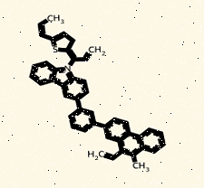 C=C/C(=C1\CC=C(/C=C\C)S1)n1c2ccccc2c2cc(-c3cccc(-c4ccc5c(c4)c(C=C)c(C)c4ccccc45)c3)ccc21